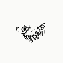 O=C(NCCC1(O)CCOCC1)Nc1ccc(C(=O)N2CCN(Cc3ccc(C(O)(C(F)(F)F)C(F)(F)F)cc3)CC2)cc1F